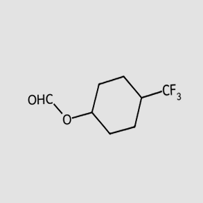 O=COC1CCC(C(F)(F)F)CC1